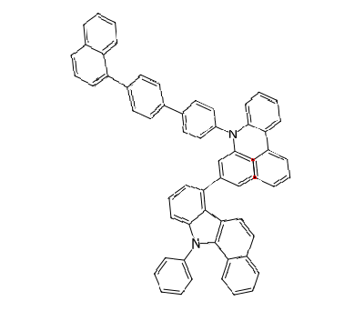 c1ccc(-c2ccccc2N(c2ccc(-c3ccc(-c4cccc5ccccc45)cc3)cc2)c2cccc(-c3cccc4c3c3ccc5ccccc5c3n4-c3ccccc3)c2)cc1